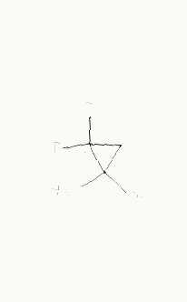 CC(C)C1(C)CC1(F)F